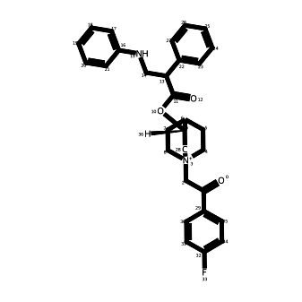 O=C(C[N+]12CCC(CC1)[C@@H](OC(=O)C(CNc1ccccc1)c1ccccc1)C2)c1ccc(F)cc1